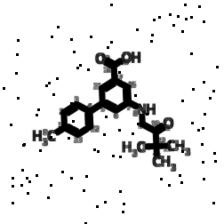 Cc1ccc(-c2cc(NCC(=O)C(C)(C)C)cc(C(=O)O)c2)cc1